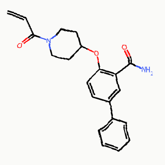 C=CC(=O)N1CCC(Oc2ccc(-c3ccccc3)cc2C(N)=O)CC1